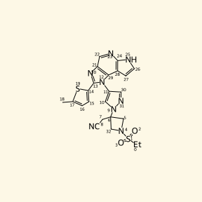 CCS(=O)(=O)N1CC(CC#N)(n2cc(-n3c(-c4ccc(C)s4)nc4cnc5[nH]ccc5c43)cn2)C1